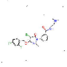 Cc1nc(OCc2ccc(F)cc2F)c(Br)c(=O)n1-c1cccc(C(=O)NCCN(C)C)c1